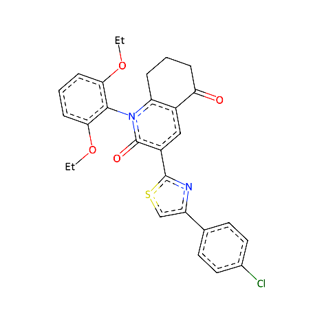 CCOc1cccc(OCC)c1-n1c2c(cc(-c3nc(-c4ccc(Cl)cc4)cs3)c1=O)C(=O)CCC2